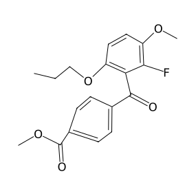 CCCOc1ccc(OC)c(F)c1C(=O)c1ccc(C(=O)OC)cc1